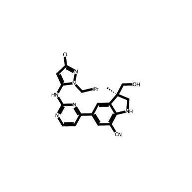 CC(C)Cn1nc(Cl)cc1Nc1nccc(-c2cc(C#N)c3c(c2)[C@@](C)(CO)CN3)n1